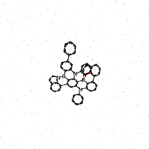 c1ccc(-c2ccc3c(c2)N(c2ccccc2)c2c4c(cc5c2B2c6c(cccc6N5c5ccccc5)-c5cccc6ccn2c56)-c2cccc5ccn(c25)B34)cc1